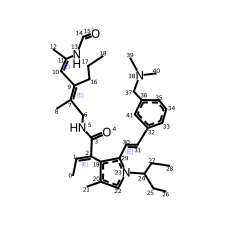 C/C=C(/C(=O)NC/C(C)=C(/C=C(/C)NC=O)CCC)c1c(C)cn(C(CC)CC)c1/C=C/c1cccc(CN(C)C)c1